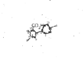 Cc1ccc(-c2cn(C)nc2C(=O)O)cc1